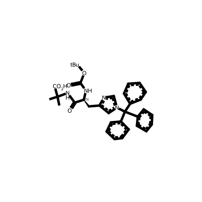 CC(C)(C)OC(=O)N[C@@H](Cc1cn(C(c2ccccc2)(c2ccccc2)c2ccccc2)cn1)C(=O)NC(C)(C)C(=O)O